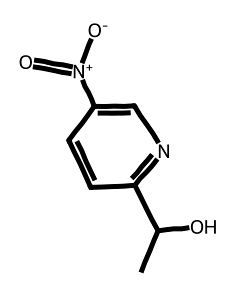 CC(O)c1ccc([N+](=O)[O-])cn1